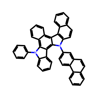 c1ccc(-n2c3ccccc3c3c2c2ccccc2c2c4c5ccccc5ccc4n(-c4ccc5c(ccc6ccccc65)c4)c23)cc1